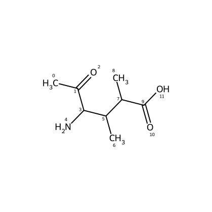 CC(=O)C(N)C(C)C(C)C(=O)O